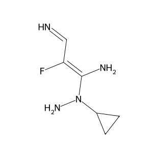 N=C/C(F)=C(\N)N(N)C1CC1